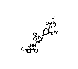 CCCc1cc(N2C[C@H](CNC(=O)c3ccc(Cl)s3)OC2=O)ccc1N1CCCNC1=O